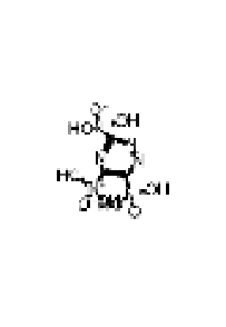 [O-][N+](O)(O)c1nnc([N+]([O-])(O)O)c([N+]([O-])(O)O)n1